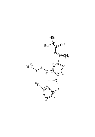 CCN(CC)C(=O)C=C(C)c1ccc(OCc2c(F)cccc2F)c(OCCC=O)c1